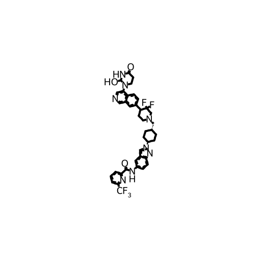 O=C1CCN(c2cncc3cc(C4CCN(C[C@H]5CC[C@H](n6cc7cc(NC(=O)c8cccc(C(F)(F)F)n8)ccc7n6)CC5)CC4(F)F)ccc23)C(O)N1